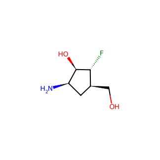 N[C@@H]1C[C@H](CO)[C@@H](F)[C@@H]1O